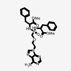 COC(=O)C(Cc1ccccc1)NP(=O)(COCCn1cnc2c(N)ncnc21)NC(Cc1ccccc1)C(=O)OC